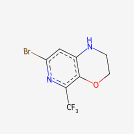 FC(F)(F)c1nc(Br)cc2c1OCCN2